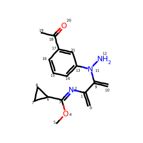 C=C(/N=C(\OC)C1CC1)C(=C)N(N)c1cccc(C(C)=O)c1